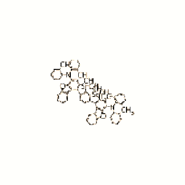 Cc1ccccc1N(c1ccccc1C)c1cc2c(c3c1oc1ccccc13)-c1ccc3c(c1[Si]2(C)C)[Si](C)(C)c1cc(N(c2ccccc2C)c2ccccc2C)c2oc4ccccc4c2c1-3